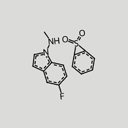 CNn1ccc2cc(F)ccc21.O=S1(=O)c2ccccc21